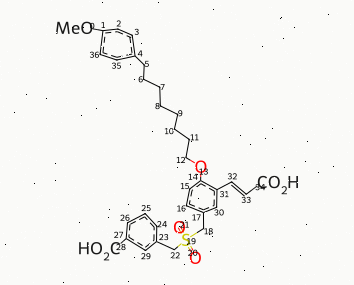 COc1ccc(CCCCCCCCOc2ccc(CS(=O)(=O)Cc3cccc(C(=O)O)c3)cc2C=CC(=O)O)cc1